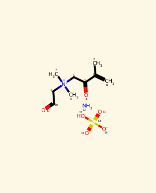 C=C(C)C(=O)C[N+](C)(C)CC=O.N.O=S(=O)([O-])O